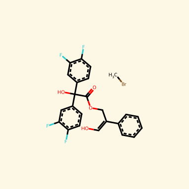 CBr.O=C(OCC(=CO)c1ccccc1)C(O)(c1ccc(F)c(F)c1)c1ccc(F)c(F)c1